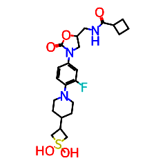 O=C(NCC1CN(c2ccc(N3CCC(C4CS(O)(O)C4)CC3)c(F)c2)C(=O)O1)C1CCC1